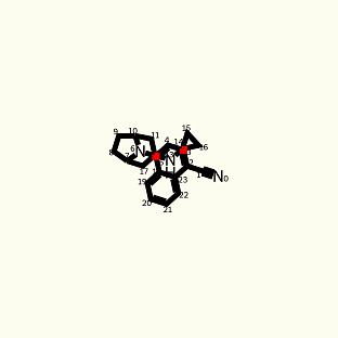 N#Cc1ccc(N2C3CCC2CC(NC2CC2)C3)c2ccccc12